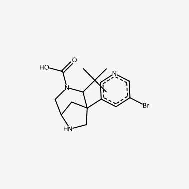 CC(C)(C)C1N(C(=O)O)CC2CC1(c1cncc(Br)c1)CN2